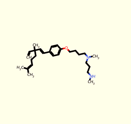 C=CC(C)(/C=C/c1ccc(OCCCCN(C)CCCNC)cc1)CCC=C(C)C